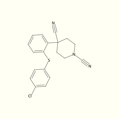 N#CN1CCC(C#N)(c2ccccc2Sc2ccc(Cl)cc2)CC1